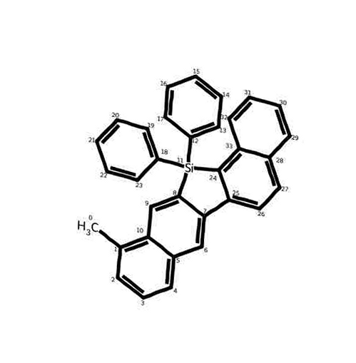 Cc1cccc2cc3c(cc12)[Si](c1ccccc1)(c1ccccc1)c1c-3ccc2ccccc12